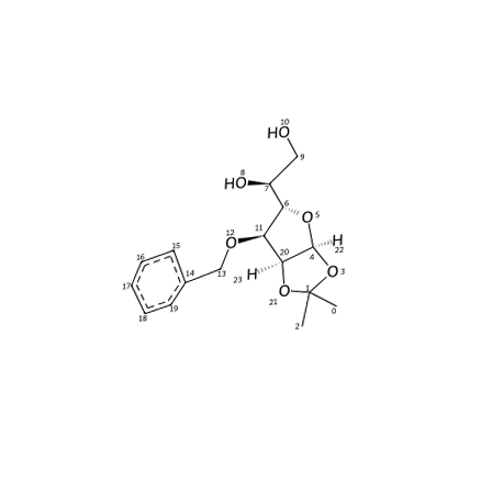 CC1(C)O[C@@H]2O[C@@H]([C@@H](O)CO)[C@H](OCc3ccccc3)[C@@H]2O1